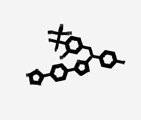 O=P(O)(O)C(F)(F)c1ccc(CN(c2ccc(F)cc2)c2ncc(-c3ccc(-c4nn[nH]n4)cc3)o2)cc1Br